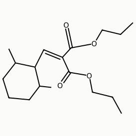 CCCOC(=O)C(=CC1C(C)CCCC1C)C(=O)OCCC